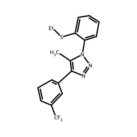 CCSc1ccccc1-n1nnc(-c2cccc(C(F)(F)F)c2)c1C